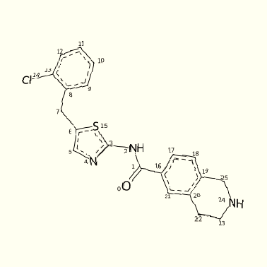 O=C(Nc1ncc(Cc2ccccc2Cl)s1)c1ccc2c(c1)CCNC2